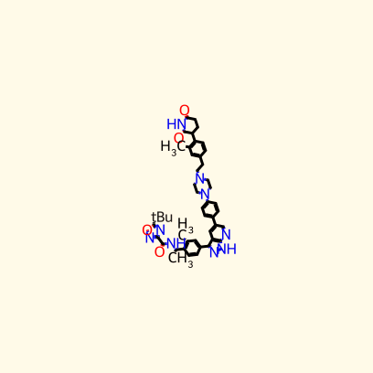 Cc1cc(-c2n[nH]c3ncc(-c4ccc(N5CCN(CCc6ccc(C7CCC(=O)NC7=O)c(C)c6)CC5)cc4)cc23)ccc1C(C)NC(=O)c1noc(C(C)(C)C)n1